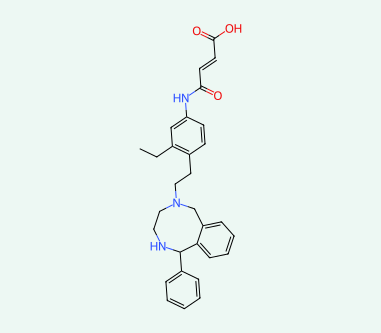 CCc1cc(NC(=O)C=CC(=O)O)ccc1CCN1CCNC(c2ccccc2)c2ccccc2C1